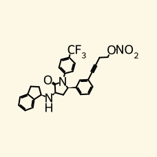 O=C1[C@H](N[C@@H]2CCc3ccccc32)C[C@H](c2cccc(C#CCCO[N+](=O)[O-])c2)N1c1ccc(C(F)(F)F)cc1